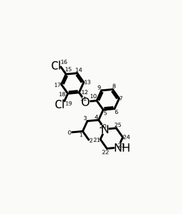 CC(C)CC(c1ccccc1Oc1ccc(Cl)cc1Cl)N1CCNCC1